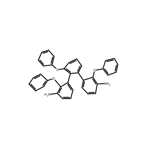 Nc1cccc(-c2cccc(Oc3ccccc3)c2-c2cccc(N)c2Oc2ccccc2)c1Oc1ccccc1